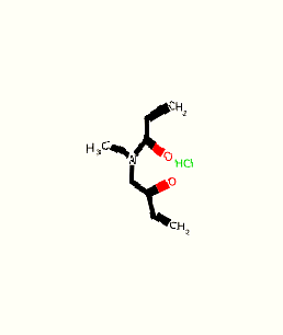 C=CC(=O)[CH2][Al]([CH3])[C](=O)C=C.Cl